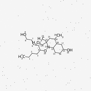 CCCCC(CCCCO)ON1C2CCC(O)CC2C(C)CC1(C)CC